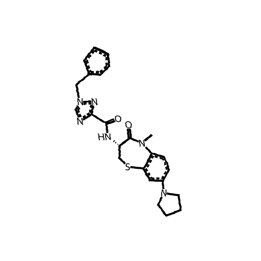 CN1C(=O)[C@@H](NC(=O)c2ncn(Cc3ccccc3)n2)CSc2cc(N3CCCC3)ccc21